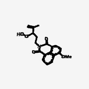 C=C(C)C(CCN1C(=O)c2cccc3c(OC)ccc(c23)C1=O)OO